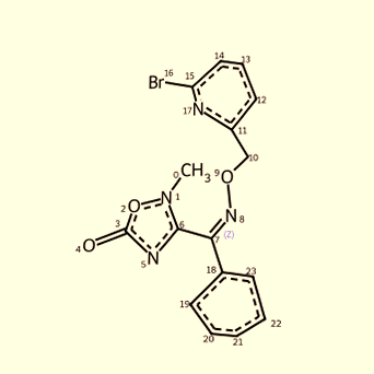 Cn1oc(=O)nc1/C(=N\OCc1cccc(Br)n1)c1ccccc1